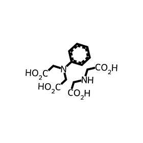 O=C(O)CN(CC(=O)O)c1ccccc1.O=C(O)CNCC(=O)O